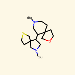 CC(C)(C)N1CCC2(CCOC2)C(C2CN(C(C)(C)C)CC23CCSC3)C1